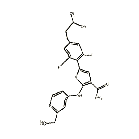 CC(O)Cc1cc(F)c(-c2cc(C(N)=O)c(Nc3ccnc(CO)c3)s2)c(F)c1